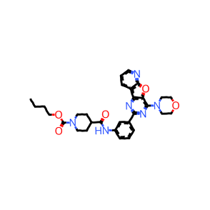 CCCCOC(=O)N1CCC(C(=O)Nc2cccc(-c3nc(N4CCOCC4)c4oc5ncccc5c4n3)c2)CC1